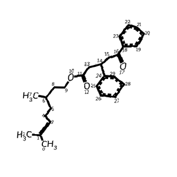 CC(C)=CCCC(C)CCOC(=O)CC(CC(=O)c1ccccc1)c1ccccc1